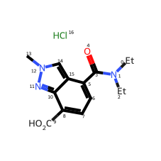 CCN(CC)C(=O)c1ccc(C(=O)O)c2nn(C)cc12.Cl